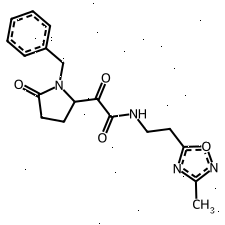 Cc1noc(CCNC(=O)C(=O)C2CCC(=O)N2Cc2ccccc2)n1